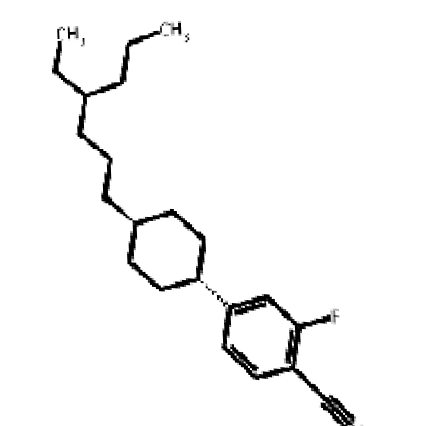 CCCC(CC)CCC[C@H]1CC[C@H](c2ccc(C#N)c(F)c2)CC1